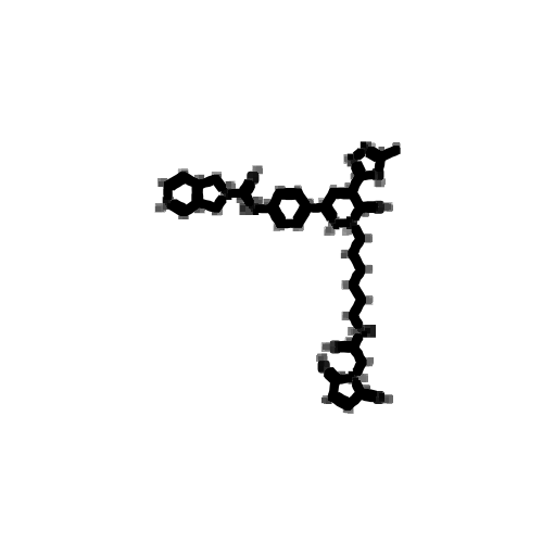 Cc1nnc(-c2cc(-c3ccc(NC(=O)N4Cc5ccncc5C4)cc3)nn(CCCCCCNC(=O)CN3C(=O)C=CC3=O)c2=O)o1